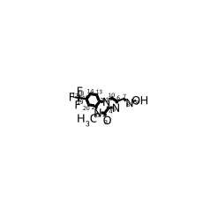 Cn1c(=O)c2nc(C=NO)cn2c2ccc(C(F)(F)F)cc21